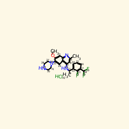 COc1cc2nc(C)cc(N[C@H](C)c3cccc(C(F)F)c3F)c2cc1N1CCNCC1.Cl